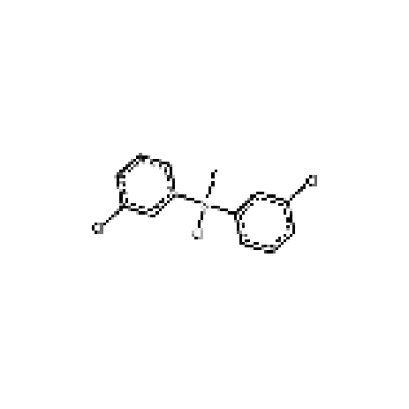 Clc1cccc([Si](Cl)(Cl)c2cccc(Cl)c2)c1